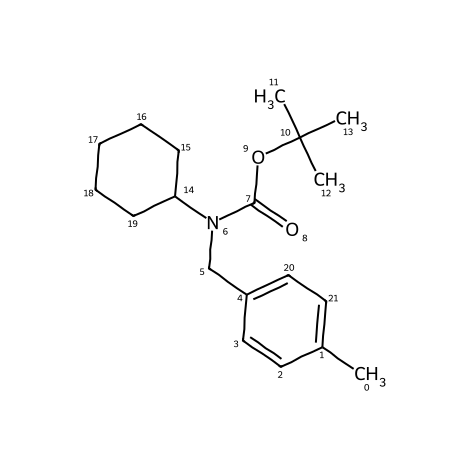 Cc1ccc(CN(C(=O)OC(C)(C)C)C2CCCCC2)cc1